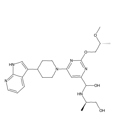 CO[C@H](C)COc1nc(C(O)N[C@H](C)CO)cc(N2CCC(c3c[nH]c4ncccc34)CC2)n1